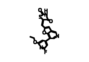 CCOc1cc(-c2cncc3cc(C=C4SC(=O)NC4=O)oc23)cc(F)n1